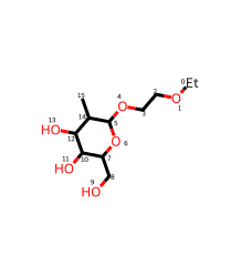 CCOCCOC1OC(CO)C(O)C(O)C1C